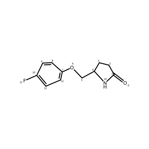 O=C1CCC(COc2ccc(F)cc2)N1